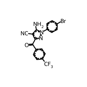 N#Cc1c(C(=O)c2ccc(C(F)(F)F)cc2)nn(-c2ccc(Br)cc2)c1N